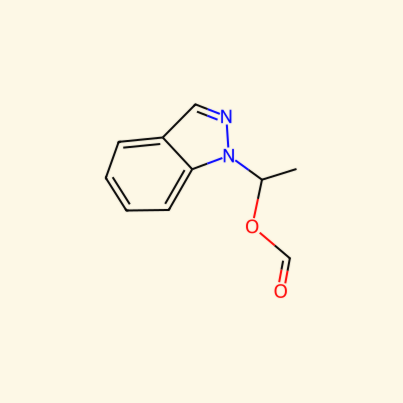 CC(OC=O)n1ncc2ccccc21